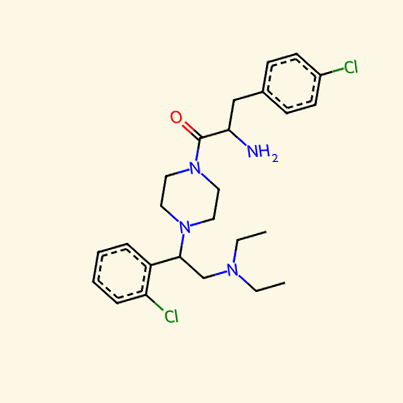 CCN(CC)CC(c1ccccc1Cl)N1CCN(C(=O)C(N)Cc2ccc(Cl)cc2)CC1